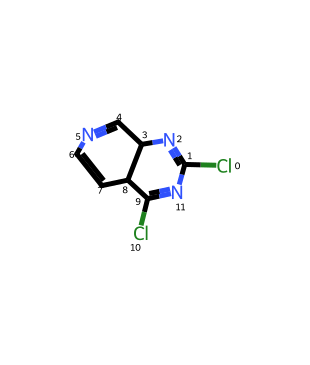 ClC1=NC2C=NC=CC2C(Cl)=N1